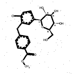 COC(=O)c1ccc(Cc2cc([C@@H]3O[C@H](CO)[C@@H](O)[C@H](O)[C@H]3O)ccc2Cl)cc1